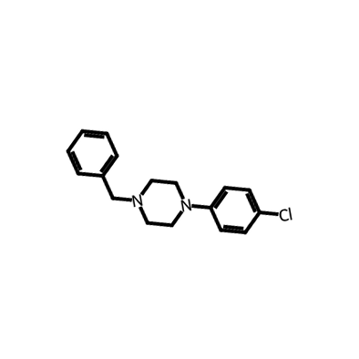 Clc1ccc(N2CCN(Cc3ccccc3)CC2)cc1